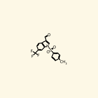 Cc1ccc(S(=O)(=O)n2cc(C=O)c3ccc(C(F)(F)F)cc32)cc1